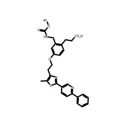 Cc1sc(-c2ccc(-c3ccccc3)nc2)nc1CCOc1ccc(CCC(=O)O)c(CNC(=O)OC(C)C)c1